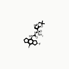 CC1(C)Cn2ncc([S@@](N)(=O)=NC(=O)Nc3c4c(c(F)c5c3C[C@H](F)C5)CCC4)c2O1